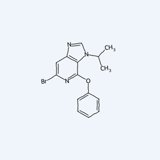 CC(C)n1cnc2cc(Br)nc(Oc3ccccc3)c21